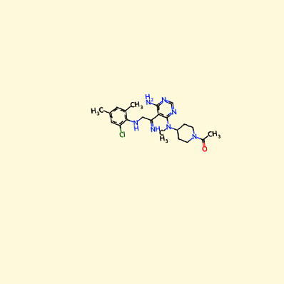 CC(=O)N1CCC(N(C)c2ncnc(N)c2C(=N)CNc2c(C)cc(C)cc2Cl)CC1